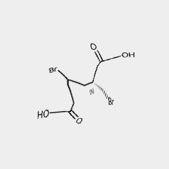 O=C(O)C(Br)[C@@H](Br)C(=O)O